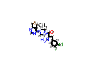 C[C@@H]1SCc2ncnc(N3CCN(C(=O)[C@H](N)Cc4ccc(F)c(Cl)c4)CC3)c21